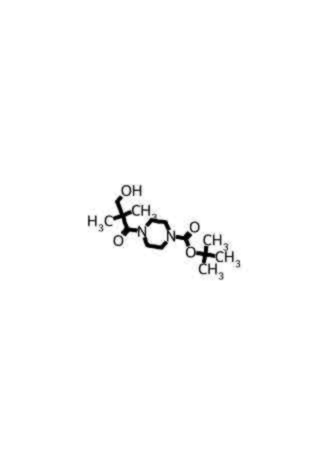 CC(C)(C)OC(=O)N1CCN(C(=O)C(C)(C)CO)CC1